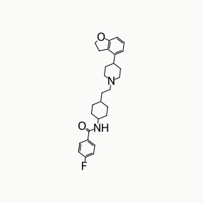 O=C(NC1CCC(CCN2CCC(c3cccc4c3CCO4)CC2)CC1)c1ccc(F)cc1